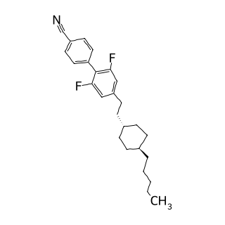 CCCCC[C@H]1CC[C@H](CCc2cc(F)c(-c3ccc(C#N)cc3)c(F)c2)CC1